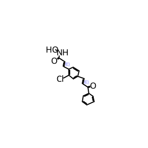 O=C(/C=C/c1ccc(/C=C/C(=O)c2ccccc2)cc1Cl)NO